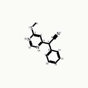 CSc1cc(C(C#N)c2ccccc2)ncn1